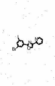 Brc1cc(I)cc(-c2nc(-c3ccccn3)co2)c1